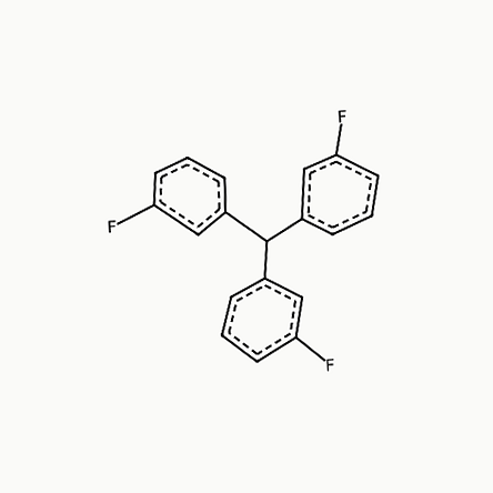 Fc1cccc(C(c2cccc(F)c2)c2cccc(F)c2)c1